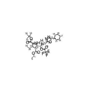 CCOC(=O)c1c(C(NCc2nnc(-c3ccccc3)o2)OC(=O)C(F)(F)F)[nH]c(C(=O)OC(C)(C)C)c1CC